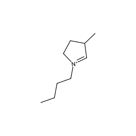 CCCC[N+]1=CC(C)CC1